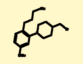 COc1ccc(CCCC(C)(C)C)c(N2CCC(CBr)CC2)c1